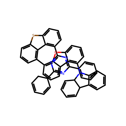 C1=CCC(c2nc(-c3ccccc3)nc(-c3cccc4sc5cccc(-c6cccc7c6oc6cccc(N8c9ccccc9C9C=CC=CC98)c67)c5c34)n2)C=C1